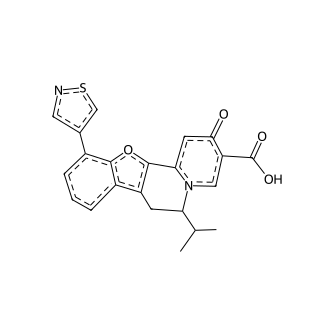 CC(C)C1Cc2c(oc3c(-c4cnsc4)cccc23)-c2cc(=O)c(C(=O)O)cn21